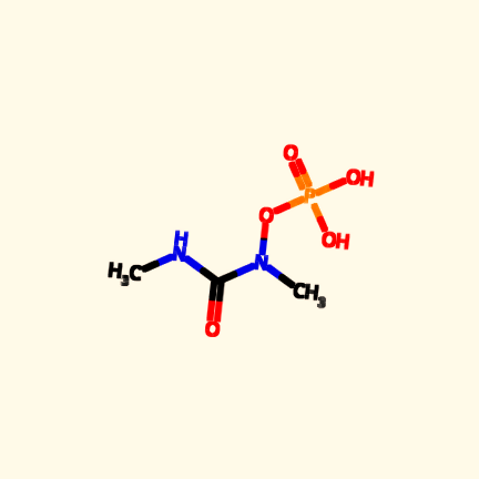 CNC(=O)N(C)OP(=O)(O)O